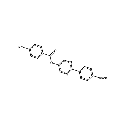 CCCCCCCCCc1ccc(-c2ncc(OC(=O)c3ccc(CCC)cc3)cn2)cc1